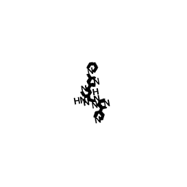 c1cc(-c2cncc3[nH]c(-c4n[nH]c5cnc(-c6cncc(CN7CCCCC7)c6)cc45)nc23)ccn1